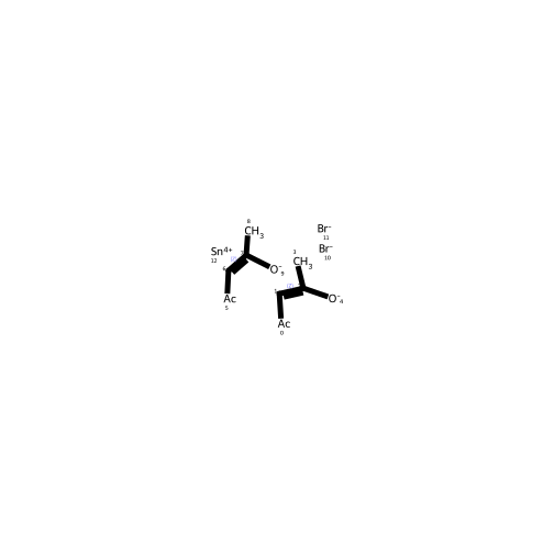 CC(=O)/C=C(/C)[O-].CC(=O)/C=C(/C)[O-].[Br-].[Br-].[Sn+4]